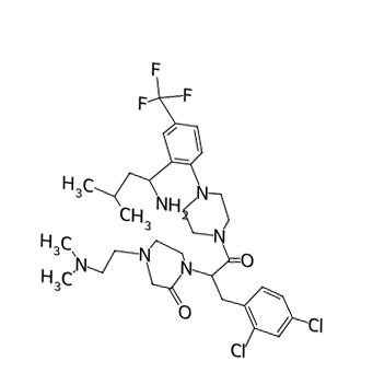 CC(C)CC(N)c1cc(C(F)(F)F)ccc1N1CCN(C(=O)C(Cc2ccc(Cl)cc2Cl)N2CCN(CCN(C)C)CC2=O)CC1